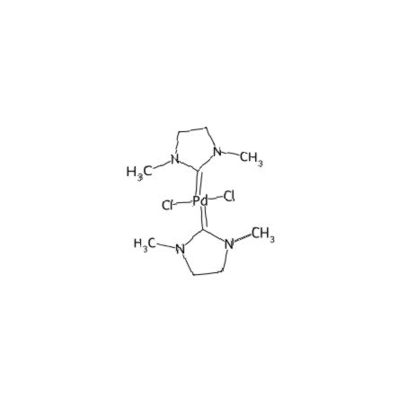 CN1CCN(C)[C]1=[Pd]([Cl])([Cl])=[C]1N(C)CCN1C